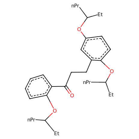 CCCC(CC)Oc1ccc(OC(CC)CCC)c(CCC(=O)c2ccccc2OC(CC)CCC)c1